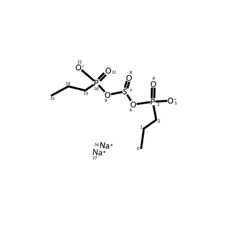 CCCP(=O)([O-])OS(=O)OP(=O)([O-])CCC.[Na+].[Na+]